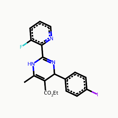 CCOC(=O)C1=C(C)NC(c2ncccc2F)=NC1c1ccc(I)cc1